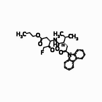 CCCOC(=O)CC(NC(=O)[C@@H](CC(=O)n1c2ccccc2c2ccccc21)C(C)C)C(=O)CF